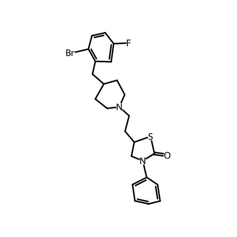 O=C1SC(CCN2CCC(Cc3cc(F)ccc3Br)CC2)CN1c1ccccc1